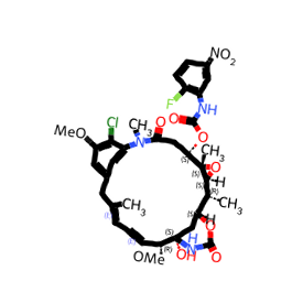 COc1cc2cc(c1Cl)N(C)C(=O)C[C@H](OC(=O)Nc1cc([N+](=O)[O-])ccc1F)[C@]1(C)O[C@H]1[C@H](C)[C@@H]1C[C@@](O)(NC(=O)O1)[C@H](OC)/C=C/C=C(\C)C2